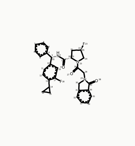 O=C(N[C@@H](c1ccccc1)c1ccc(C2CC2)c(F)c1)[C@@H]1C[C@@H](F)CN1C(=O)CN1Cc2ccccc2C1=O